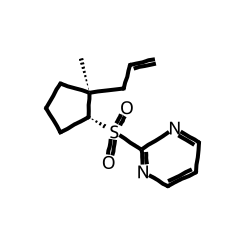 C=CC[C@]1(C)CCC[C@H]1S(=O)(=O)c1ncccn1